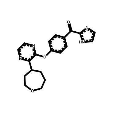 O=C(c1ccc(Oc2nccnc2C2CCCOCC2)cc1)c1ncc[nH]1